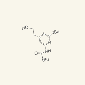 CC(C)(C)C(=O)Nc1cc(CCO)[c]c(C(C)(C)C)n1